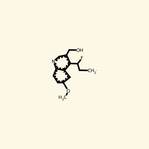 [CH2]CC(F)c1c(CO)cnc2ccc(OC)cc12